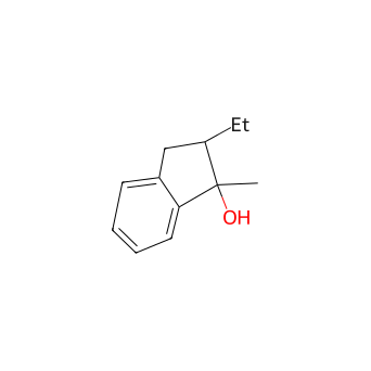 CCC1Cc2ccccc2C1(C)O